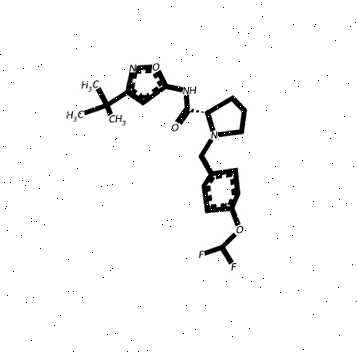 CC(C)(C)c1cc(NC(=O)[C@@H]2CCCN2Cc2ccc(OC(F)F)cc2)on1